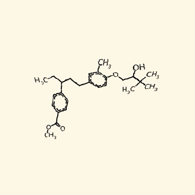 CCC(CCc1ccc(OCC(O)C(C)(C)C)c(C)c1)c1ccc(C(=O)OC)cc1